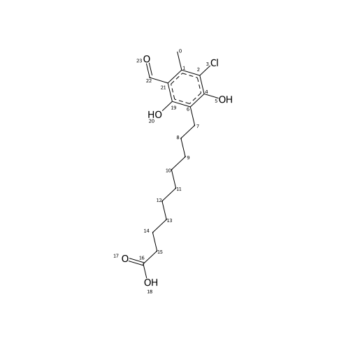 Cc1c(Cl)c(O)c(CCCCCCCCCC(=O)O)c(O)c1C=O